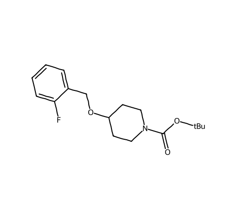 CC(C)(C)OC(=O)N1CCC(OCc2ccccc2F)CC1